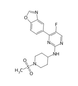 CS(=O)(=O)N1CCC(Nc2ncc(F)c(-c3ccc4ocnc4c3)n2)CC1